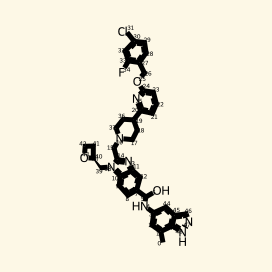 Cc1cc(NC(O)c2ccc3c(c2)nc(CN2CCC(c4cccc(OCc5ccc(Cl)cc5F)n4)CC2)n3C[C@@H]2CCO2)cc2cn[nH]c12